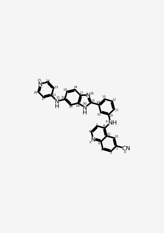 N#Cc1ccc2nccc(Nc3cccc(-c4nc5ccc(Nc6ccncc6)cc5[nH]4)c3)c2c1